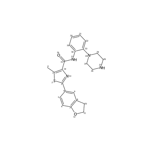 Cc1sc(-c2ccc3c(c2)CCO3)nc1C(=O)Nc1ccccc1N1CCNCC1